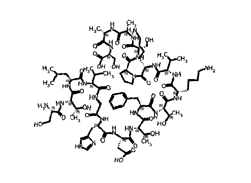 CC(C)C[C@H](NC(=O)[C@@H](NC(=O)[C@@H](N)CO)[C@@H](C)O)C(=O)N[C@H](C(=O)NCC(=O)N[C@@H](Cc1c[nH]cn1)C(=O)N[C@@H](CC(=O)O)C(=O)N[C@H](C(=O)N[C@@H](Cc1ccccc1)C(=O)N[C@H](C(=O)N[C@@H](CCCCN)C(=O)N[C@H](C(=O)N[C@@H](CCCCN)C(=O)N1CCC[C@H]1C(=O)N[C@@H](CO)C(=O)N[C@@H](C)C(=O)N[C@@H](C)C(=O)N[C@@H](CO)C(=O)O)C(C)C)[C@@H](C)O)[C@@H](C)O)C(C)C